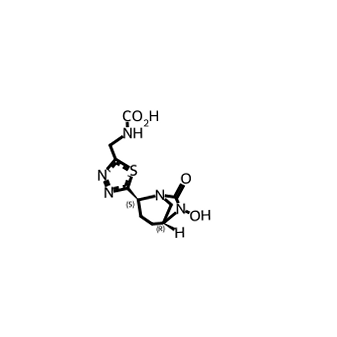 O=C(O)NCc1nnc([C@@H]2CC[C@@H]3CN2C(=O)N3O)s1